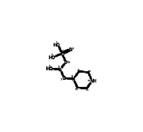 O=P(O)(O)OB(O)ON1CCNCC1